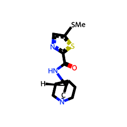 CSc1cnc(C(=O)N[C@H]2CN3CCC2CC3)s1